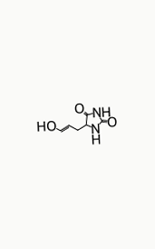 O=C1NC(=O)C(CC=CO)N1